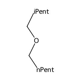 CCCCCCOCC(C)CCC